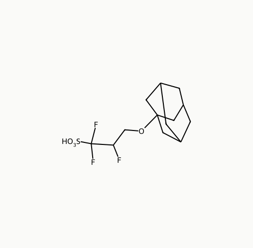 O=S(=O)(O)C(F)(F)C(F)COC12CC3CC(CC(C3)C1)C2